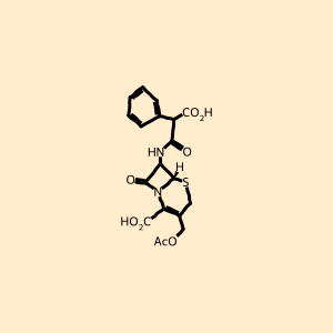 CC(=O)OCC1=C(C(=O)O)N2C(=O)C(NC(=O)C(C(=O)O)c3ccccc3)[C@@H]2SC1